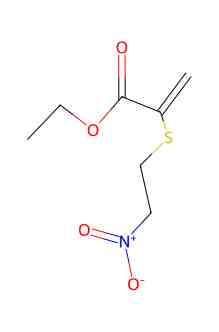 C=C(SCC[N+](=O)[O-])C(=O)OCC